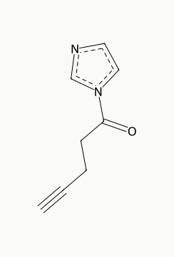 C#CCCC(=O)n1ccnc1